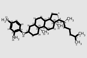 CC(C)CCC[C@@H](C)[C@H]1CCC2C3CCC4CC(Oc5ccc(N)cc5N)CC[C@]4(C)C3CC[C@@]21C